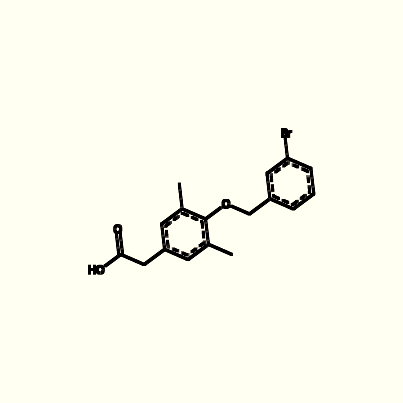 Cc1cc(CC(=O)O)cc(C)c1OCc1cccc(Br)c1